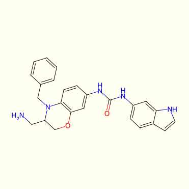 NCC1COc2cc(NC(=O)Nc3ccc4cc[nH]c4c3)ccc2N1Cc1ccccc1